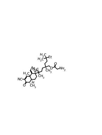 CCC(C)(C)CC[C@@](C)(CCC(C)(C)[C@]1(C)CC[C@H]2[C@H](C)C(=O)C(C#N)=C[C@]2(C)/C1=C/C(C)=O)COC(=O)CN